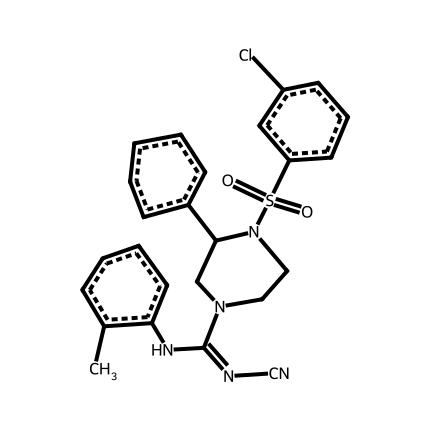 Cc1ccccc1N/C(=N/C#N)N1CCN(S(=O)(=O)c2cccc(Cl)c2)C(c2ccccc2)C1